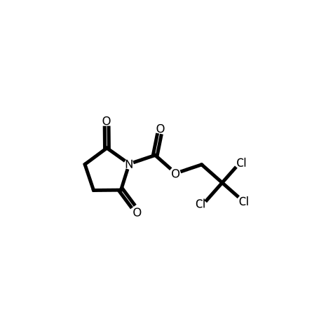 O=C1CCC(=O)N1C(=O)OCC(Cl)(Cl)Cl